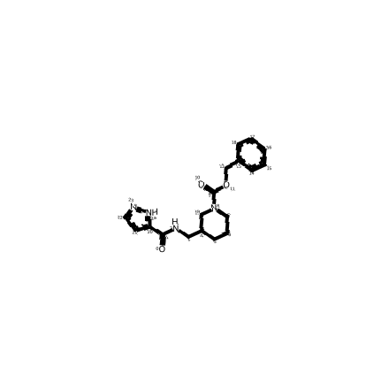 O=C(NCC1CCCN(C(=O)OCc2ccccc2)C1)c1ccn[nH]1